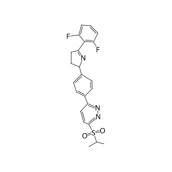 CC(C)S(=O)(=O)c1ccc(-c2ccc(C3CCC(c4c(F)cccc4F)=N3)cc2)nn1